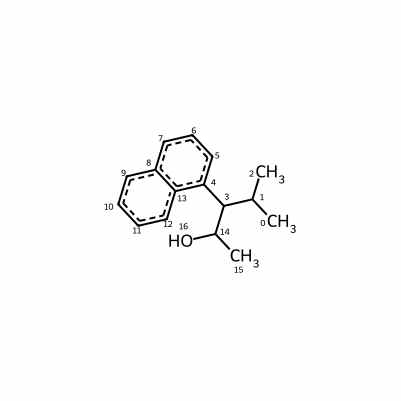 CC(C)C(c1cccc2ccccc12)C(C)O